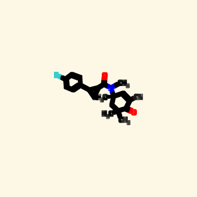 CN(C(=O)C1CC1c1ccc(F)cc1)[C@]1(C)C=C(C#N)C(=O)C(C)(C)C1